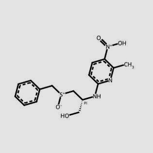 Cc1nc(N[C@H](CO)C[S+]([O-])Cc2ccccc2)ccc1[N+](=O)O